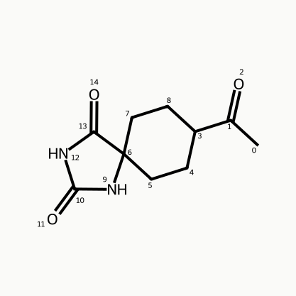 CC(=O)C1CCC2(CC1)NC(=O)NC2=O